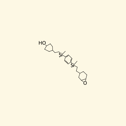 C[Si](C)(CCC1CCC(O)CC1)c1ccc([Si](C)(C)CCC2CCC3OC3C2)cc1